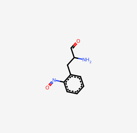 NC(C=O)Cc1ccccc1N=O